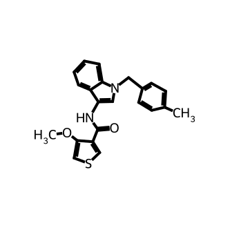 COc1cscc1C(=O)Nc1cn(Cc2ccc(C)cc2)c2ccccc12